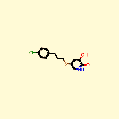 O=c1[nH]cc(SCCCc2ccc(Cl)cc2)cc1O